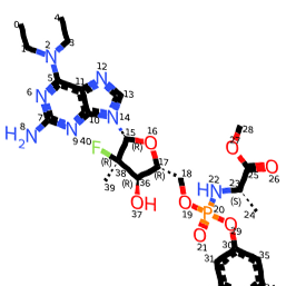 CCN(CC)c1nc(N)nc2c1ncn2[C@@H]1O[C@H](COP(=O)(N[C@@H](C)C(=O)OC)Oc2ccccc2)[C@@H](O)[C@@]1(C)F